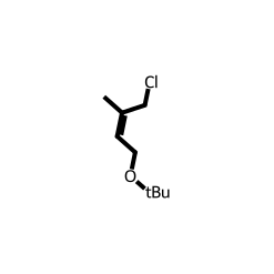 CC(=CCOC(C)(C)C)CCl